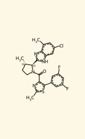 Cc1nc(C(=O)N2CC[C@H](C)[C@H]2c2nc3c(C)cc(Cl)cc3[nH]2)c(-c2cc(F)cc(F)c2)s1